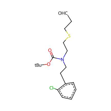 CC(C)(C)OC(=O)N(CCSCCC=O)CCc1ccccc1Cl